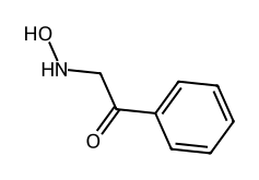 O=C(CNO)c1ccccc1